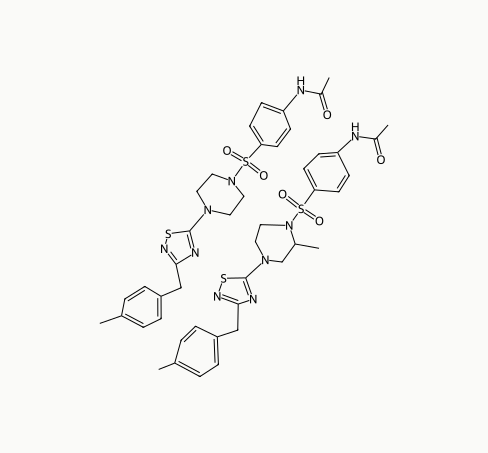 CC(=O)Nc1ccc(S(=O)(=O)N2CCN(c3nc(Cc4ccc(C)cc4)ns3)CC2)cc1.CC(=O)Nc1ccc(S(=O)(=O)N2CCN(c3nc(Cc4ccc(C)cc4)ns3)CC2C)cc1